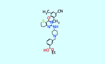 CCOC(O)c1cccc(CN2CCC(Nc3nc4c(c(Oc5c(C)cc(C#N)cc5C)n3)SCCC4)CC2)c1